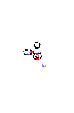 CCN(CC)C(=O)Oc1ccc2c(c1)Oc1ccccc1N2C1CC2CCC(C1)N2Cc1ccccn1